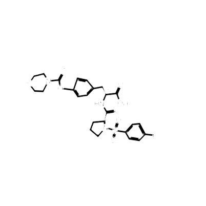 O=C(O)[C@H](Cc1ccc(OC(=O)N2CCSCC2)cc1)NC(=O)[C@@H]1CCCN1S(=O)(=O)c1ccc(F)cc1